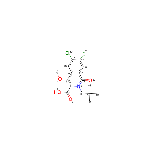 COc1c(C(=O)O)n(CC(C)(C)C)c(=O)c2cc(Cl)c(Cl)cc12